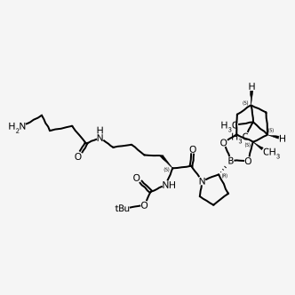 CC(C)(C)OC(=O)N[C@@H](CCCCNC(=O)CCCN)C(=O)N1CCC[C@H]1B1OC2C[C@@H]3C[C@@H](C3(C)C)[C@]2(C)O1